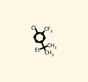 CCC(C)(C)c1ccc(Cl)c(C(F)(F)F)c1